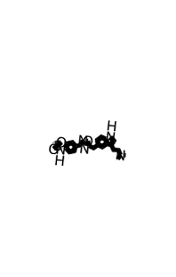 CN(C)CCc1c[nH]c2ccc(Cc3nc(-c4ccc(NS(C)(=O)=O)cc4)no3)cc12